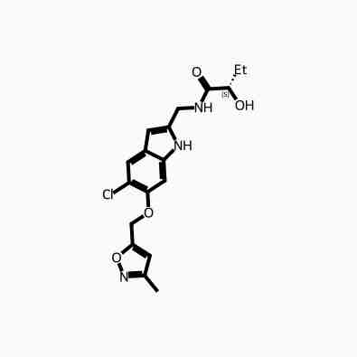 CC[C@H](O)C(=O)NCc1cc2cc(Cl)c(OCc3cc(C)no3)cc2[nH]1